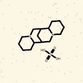 C1CCN2CC3CC(CN4CCCCC34)C2C1.O=S(=O)(O)O